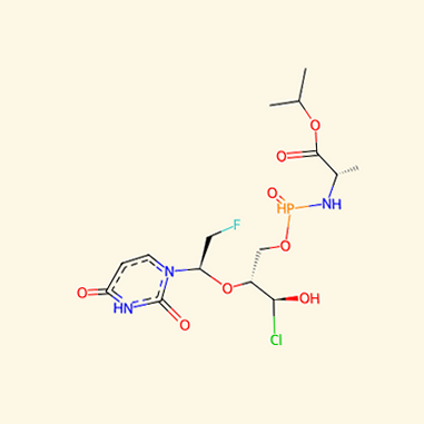 CC(C)OC(=O)[C@H](C)N[PH](=O)OC[C@@H](O[C@H](CF)n1ccc(=O)[nH]c1=O)[C@@H](O)Cl